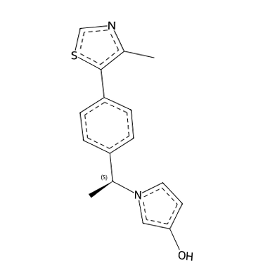 Cc1ncsc1-c1ccc([C@H](C)n2ccc(O)c2)cc1